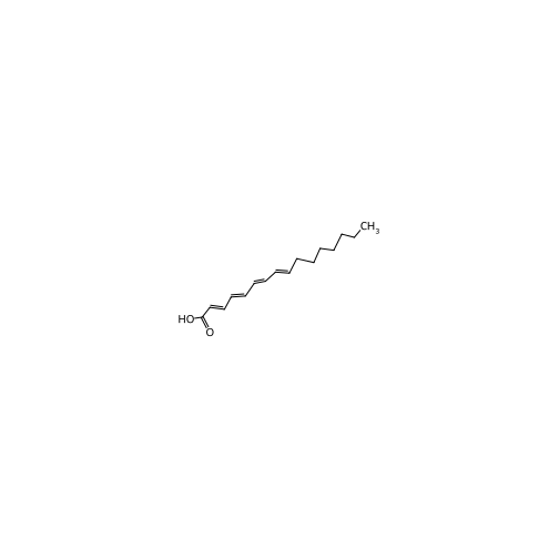 CCCCCCCC=CC=CC=CC=CC(=O)O